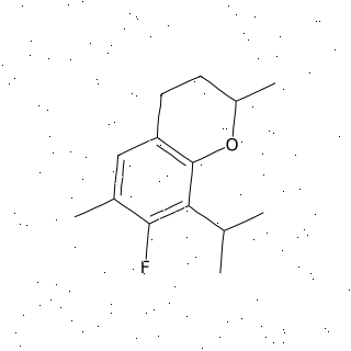 Cc1cc2c(c(C(C)C)c1F)OC(C)CC2